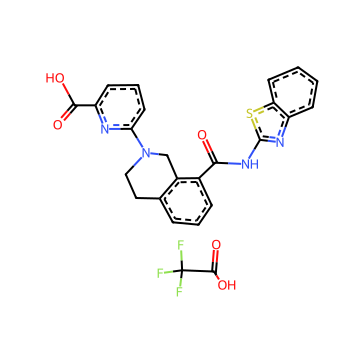 O=C(O)C(F)(F)F.O=C(O)c1cccc(N2CCc3cccc(C(=O)Nc4nc5ccccc5s4)c3C2)n1